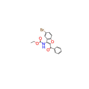 CCOC(=O)Nc1c(C(=O)c2ccccc2)oc2ccc(Br)cc12